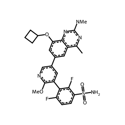 CNc1nc(C)c2cc(-c3cnc(OC)c(-c4c(F)ccc(S(N)(=O)=O)c4F)c3)cc(OC3CCC3)c2n1